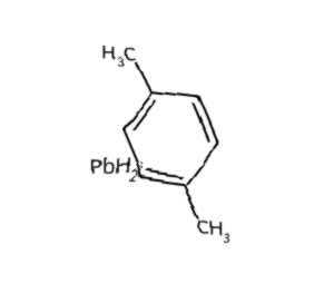 Cc1ccc(C)cc1.[PbH2]